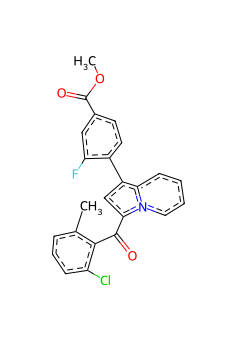 COC(=O)c1ccc(-c2cc(C(=O)c3c(C)cccc3Cl)n3ccccc23)c(F)c1